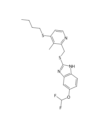 CCCCSc1ccnc(CSc2nc3cc(OC(F)F)ccc3[nH]2)c1C